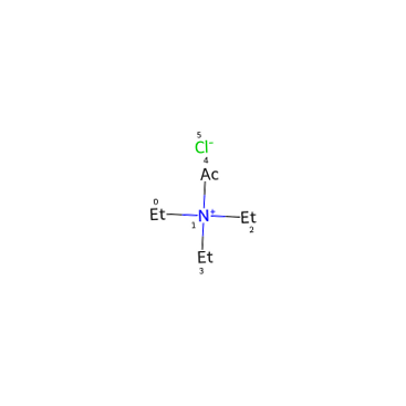 CC[N+](CC)(CC)C(C)=O.[Cl-]